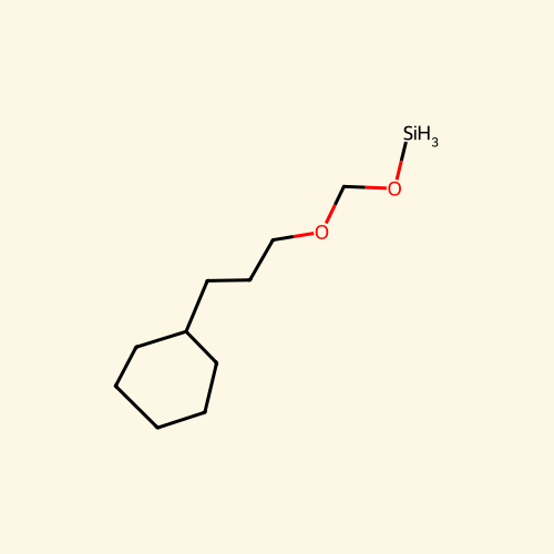 [SiH3]OCOCCCC1CCCCC1